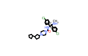 CN[C@@](C)(c1ccc(Cl)cc1)[C@](C)(NC(=O)N1CCN(C2CCC(C3CCCC3)C2)CC1)c1ccc(Cl)cc1